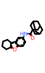 O=C(Nc1ccc2oc3c(c2c1)CCCC3)C12CC3CC(CC(C3)C1)C2